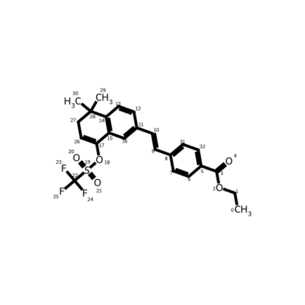 CCOC(=O)c1ccc(C=Cc2ccc3c(c2)C(OS(=O)(=O)C(F)(F)F)=CCC3(C)C)cc1